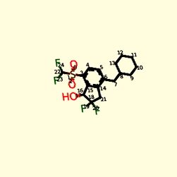 O=S(=O)(c1ccc(CC2CCCCC2)c2c1C(O)C(F)(F)C2)C(F)F